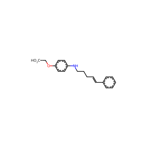 O=C(O)COc1ccc(NCCCC=Cc2ccccc2)cc1